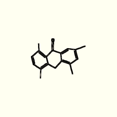 Cc1cc(C)c2c(c1)C(=O)c1c(C)ccc(C)c1C2